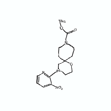 CC(C)(C)OC(=O)N1CCC2(CC1)CN(c1ncccc1[N+](=O)[O-])CCO2